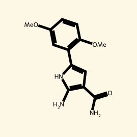 COc1ccc(OC)c(-c2cc(C(N)=O)c(N)[nH]2)c1